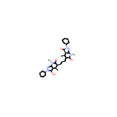 CC(=O)n1c2c(c(C)/c(=C\C=Cc3c(C)c4c(O)n(-c5ccccc5)nc4n(C(C)=O)c3=O)c1=O)C(=O)N(c1ccccc1)N=2